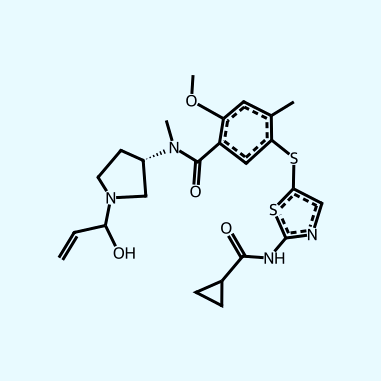 C=CC(O)N1CC[C@H](N(C)C(=O)c2cc(Sc3cnc(NC(=O)C4CC4)s3)c(C)cc2OC)C1